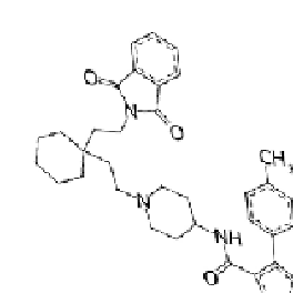 Cc1ccc(-c2ccoc2C(=O)NC2CCN(CCC3(CCN4C(=O)c5ccccc5C4=O)CCCCC3)CC2)cc1